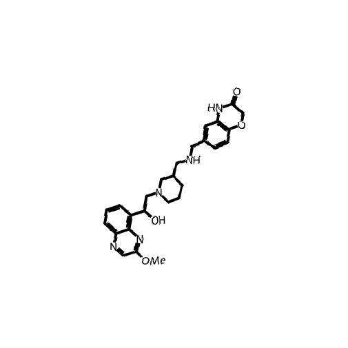 COc1cnc2cccc(C(O)CN3CCCC(CNCc4ccc5c(c4)NC(=O)CO5)C3)c2n1